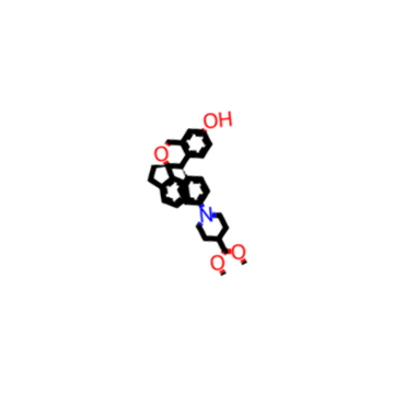 COC(OC)C1CCN(c2ccc([C@H]3c4ccc(O)cc4CO[C@]34CCc3ccccc34)cc2)CC1